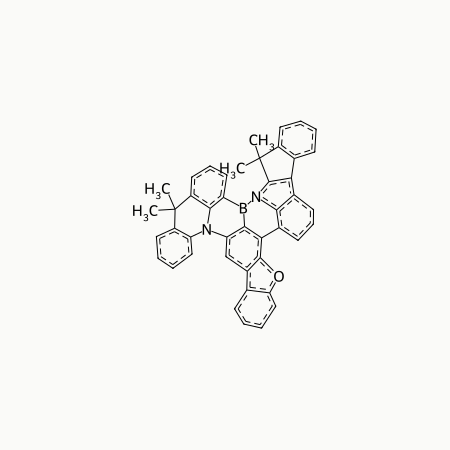 CC1(C)c2ccccc2N2c3cc4c(oc5ccccc54)c4c3B(c3cccc1c32)n1c2c(c3cccc-4c31)-c1ccccc1C2(C)C